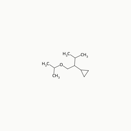 CC(C)OCC(C(C)C)C1CC1